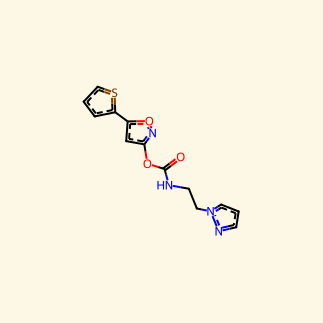 O=C(NCCn1cccn1)Oc1cc(-c2cccs2)on1